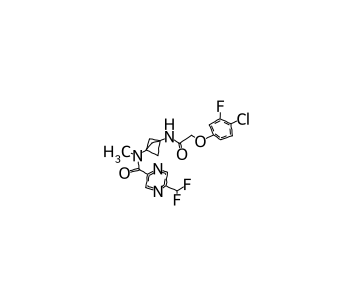 CN(C(=O)c1cnc(C(F)F)cn1)C12CC(NC(=O)COc3ccc(Cl)c(F)c3)(C1)C2